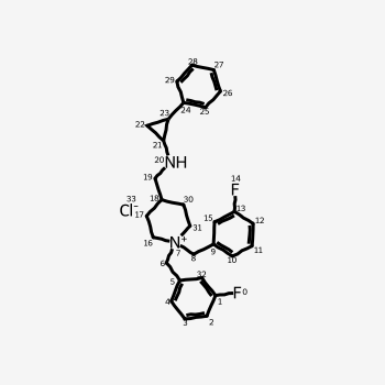 Fc1cccc(C[N+]2(Cc3cccc(F)c3)CCC(CNC3CC3c3ccccc3)CC2)c1.[Cl-]